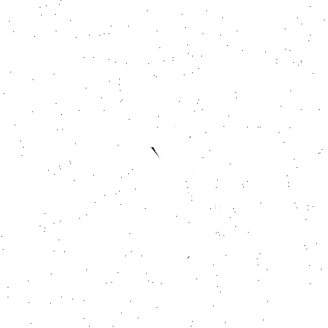 CC(C)C(C)[C@@H]1CCN(C)[C@H]1C